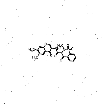 Cc1cc2occ(NC(=O)C3C(=O)c4ccccc4S(=O)(=O)N3C)c(=O)c2cc1C